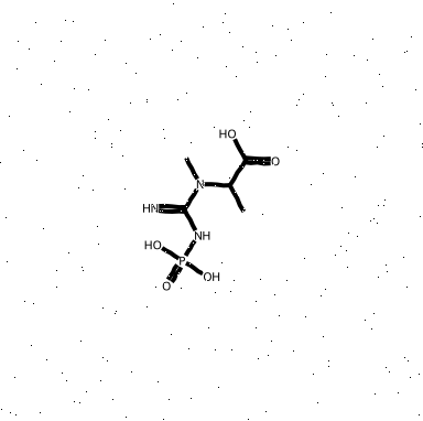 CC(C(=O)O)N(C)C(=N)NP(=O)(O)O